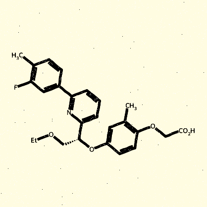 CCOC[C@@H](Oc1ccc(OCC(=O)O)c(C)c1)c1cccc(-c2ccc(C)c(F)c2)n1